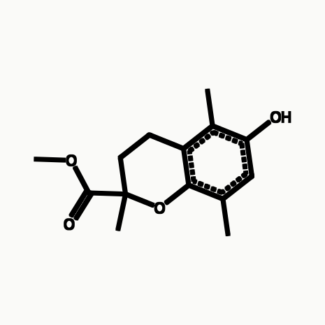 COC(=O)C1(C)CCc2c(C)c(O)cc(C)c2O1